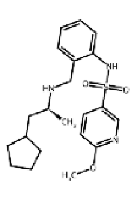 COc1ccc(S(=O)(=O)Nc2ccccc2CN[C@@H](C)CC2CCCC2)cn1